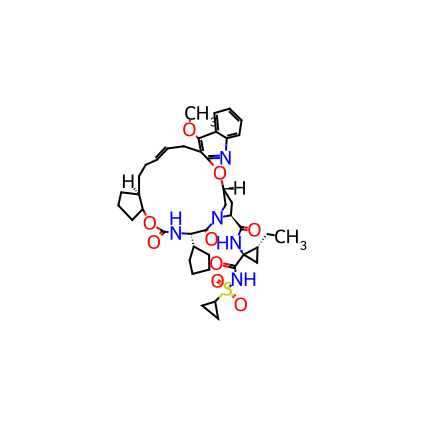 CC[C@@H]1C[C@]1(NC(=O)[C@@H]1C[C@@H]2CN1C(=O)[C@H](C1CCCC1)NC(=O)OC1CCC[C@H]1CC/C=C/Cc1c(nc3ccccc3c1OC)O2)C(=O)NS(=O)(=O)C1CC1